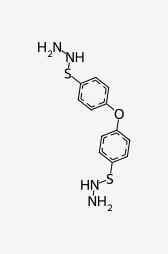 NNSc1ccc(Oc2ccc(SNN)cc2)cc1